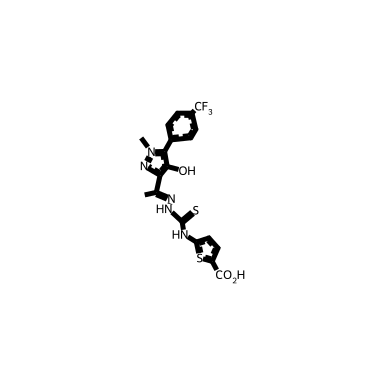 CC(=NNC(=S)Nc1ccc(C(=O)O)s1)c1nn(C)c(-c2ccc(C(F)(F)F)cc2)c1O